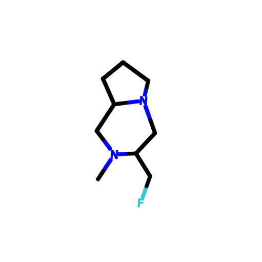 CN1CC2CCCN2CC1CF